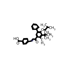 Cc1c(C(=O)/C=C/c2ccc(C(=O)O)cc2)cc(-c2ccccc2)c(OCC(C)C)c1C(C)(C)C